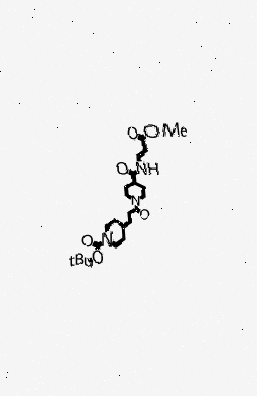 COC(=O)CCNC(=O)C1CCN(C(=O)CCC2CCN(C(=O)OC(C)(C)C)CC2)CC1